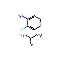 CC(C)C(C(=O)O)C(=O)O.Nc1ccccc1F